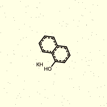 Oc1cccc2ccccc12.[KH]